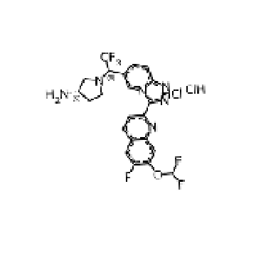 Cl.Cl.N[C@H]1CCN([C@H](c2ccc3nnc(-c4ccc5cc(F)c(OC(F)F)cc5n4)n3c2)C(F)(F)F)C1